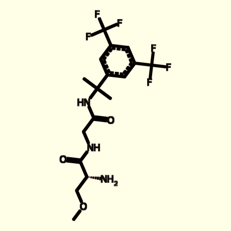 COC[C@@H](N)C(=O)NCC(=O)NC(C)(C)c1cc(C(F)(F)F)cc(C(F)(F)F)c1